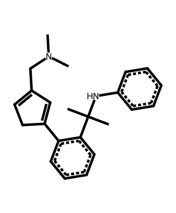 CN(C)CC1=CCC(c2ccccc2C(C)(C)Nc2ccccc2)=C1